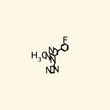 CN1CN(Cc2cnccn2)c2cc(-c3cccc(F)c3)cnc21